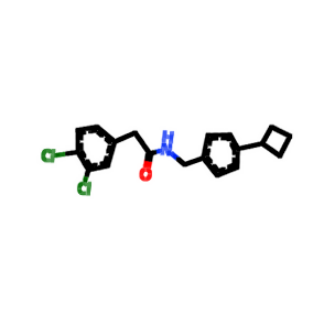 O=C(Cc1ccc(Cl)c(Cl)c1)NCc1ccc(C2CCC2)cc1